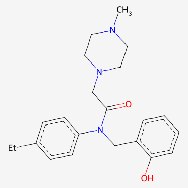 CCc1ccc(N(Cc2ccccc2O)C(=O)CN2CCN(C)CC2)cc1